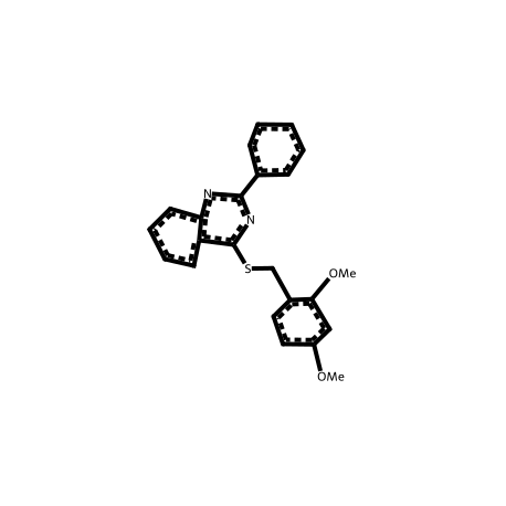 COc1ccc(CSc2nc(-c3ccccc3)nc3ccccc23)c(OC)c1